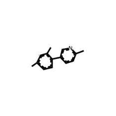 Cc1[c]c(C)c(-c2ccc(C)nc2)cc1